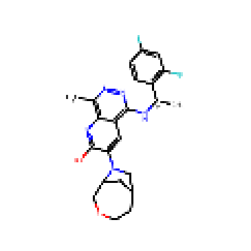 Cc1nnc(N[C@H](C)c2ccc(F)cc2F)c2cc(N3CC4CCOCC3C4)c(O)nc12